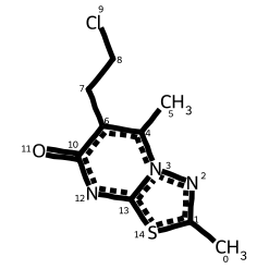 Cc1nn2c(C)c(CCCl)c(=O)nc2s1